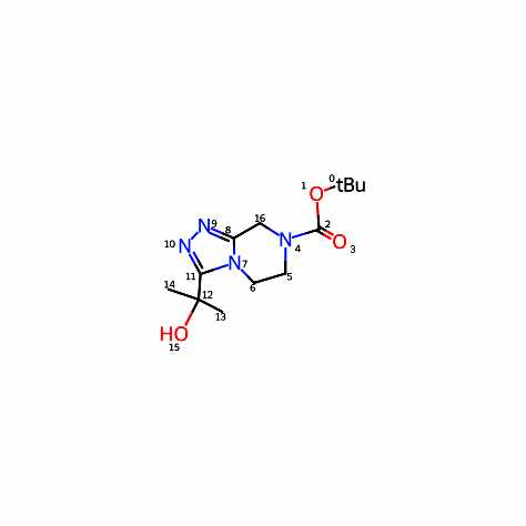 CC(C)(C)OC(=O)N1CCn2c(nnc2C(C)(C)O)C1